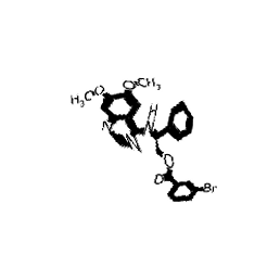 COc1cc2ncnc(N[C@H](COC(=O)c3cccc(Br)c3)c3ccccc3)c2cc1OC